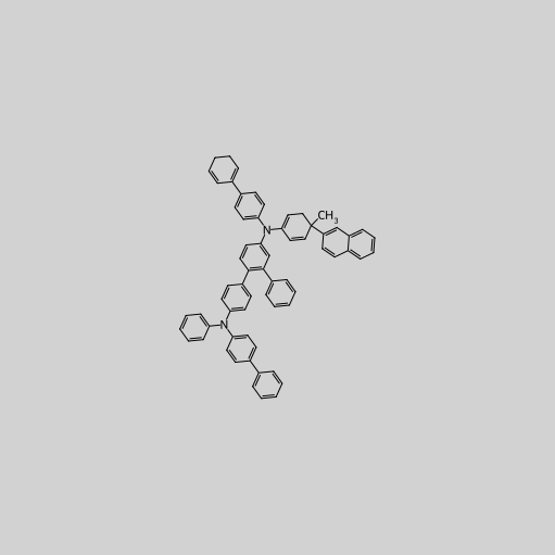 CC1(c2ccc3ccccc3c2)C=CC(N(c2ccc(C3=CCCC=C3)cc2)c2ccc(-c3ccc(N(c4ccccc4)c4ccc(-c5ccccc5)cc4)cc3)c(-c3ccccc3)c2)=CC1